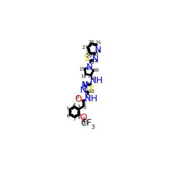 O=C(Cc1ccccc1OC(F)(F)F)Nc1nnc(NC2CCN(c3nc4ncccc4s3)C2)s1